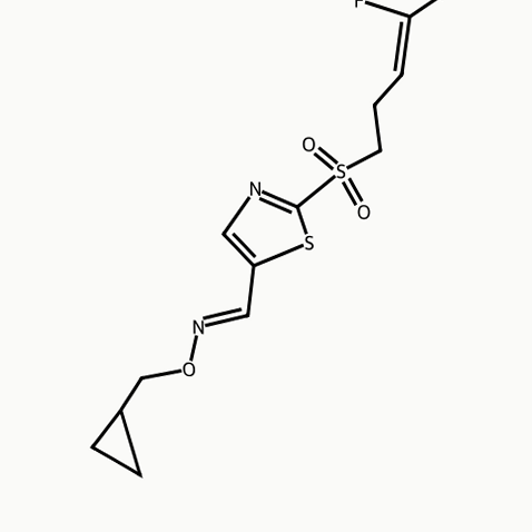 O=S(=O)(CCC=C(F)F)c1ncc(C=NOCC2CC2)s1